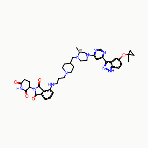 C[C@H]1CN(c2cc(-c3n[nH]c4ccc(OC5(C)CC5)cc34)ncn2)CCN1CC1CCN(CCCNc2cccc3c2C(=O)N(C2CCC(=O)NC2=O)C3=O)CC1